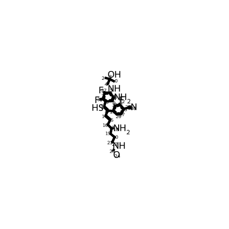 CC(C)(O)CNc1c(N)cc(/C(S)=C(/C=C/CC(N)CCCNC=O)c2ccc(C#N)c(F)c2)c(F)c1F